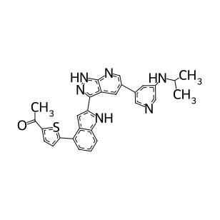 CC(=O)c1ccc(-c2cccc3[nH]c(-c4n[nH]c5ncc(-c6cncc(NC(C)C)c6)cc45)cc23)s1